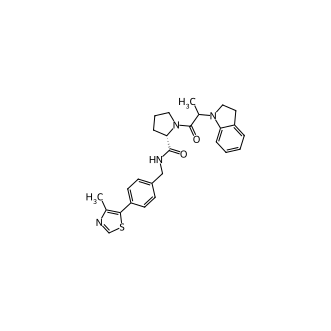 Cc1ncsc1-c1ccc(CNC(=O)[C@@H]2CCCN2C(=O)C(C)N2CCc3ccccc32)cc1